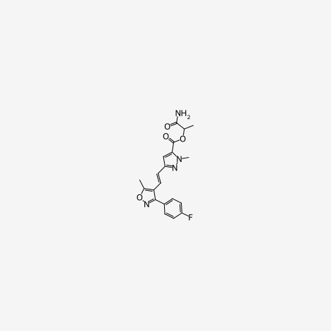 Cc1onc(-c2ccc(F)cc2)c1C=Cc1cc(C(=O)OC(C)C(N)=O)n(C)n1